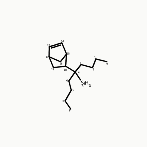 CCCCC([SiH3])(CCCC)C1CC2C=CC1C2